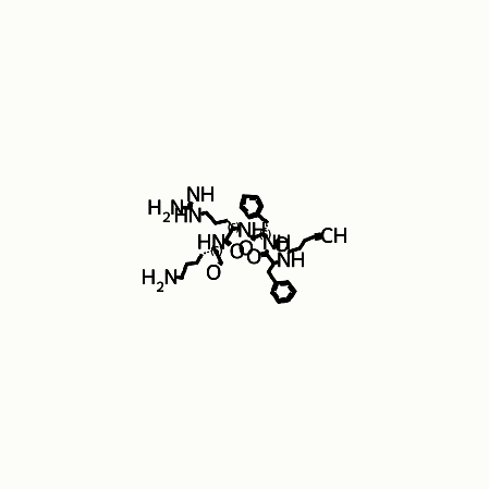 C#CCCC(=O)NC(Cc1ccccc1)C(=O)N[C@@H](Cc1ccccc1)C(=O)N[C@@H](CCCNC(=N)N)C(=O)N[C@H](C=O)CCCCN